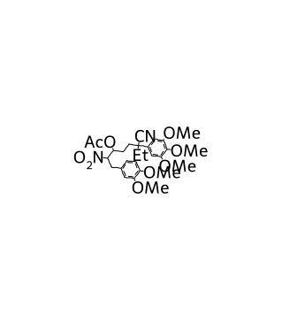 CCC(C#N)(CCC(OC(C)=O)C(Cc1ccc(OC)c(OC)c1)[N+](=O)[O-])c1cc(OC)c(OC)c(OC)c1